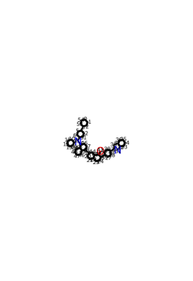 c1ccc(-c2ccc(N(c3ccccc3)c3ccc(-c4ccc5ccc6c7ccc(C8=Nc9ccccc9C8)cc7oc6c5c4)c4ccccc34)cc2)cc1